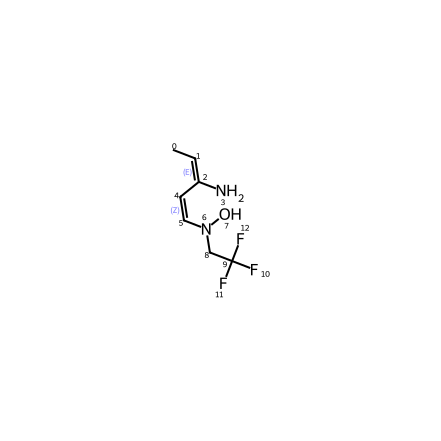 C/C=C(N)\C=C/N(O)CC(F)(F)F